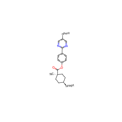 CCCCCCC[C@H]1CC[C@@](C#N)(C(=O)Oc2ccc(-c3ncc(CCCCC)cn3)cc2)CC1